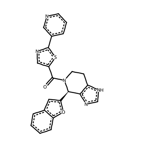 O=C(c1cnc(-c2cccnc2)s1)N1CCc2[nH]cnc2[C@H]1c1cc2ccccc2o1